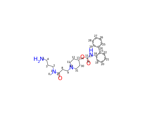 CN(CCCN)C(=O)CCN1CCC(OC(=O)Nc2ccccc2-c2ccccc2)CC1